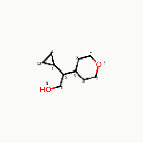 OCC(C1CCOCC1)C1CC1